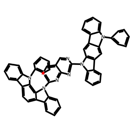 c1ccc(-n2c3ccccc3c3cc4c(cc32)c2ccccc2n4-c2ncc3cnc(-n4c5ccccc5c5ccc6c7ccccc7n(-c7ccccc7)c6c54)nc3n2)cc1